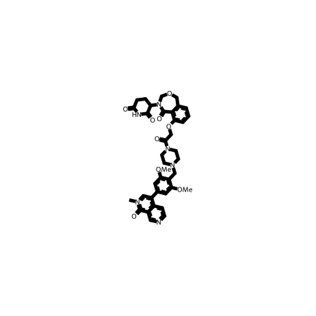 COc1cc(-c2cn(C)c(=O)c3cnccc23)cc(OC)c1CN1CCN(C(=O)COc2cccc3c2C(=O)N(C2CCC(=O)NC2=O)COC3)CC1